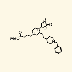 COC(=O)CCCN1CCN(C2CN(C)C(=O)O2)C(CCC2CCN(Cc3ccccc3)CC2)C1